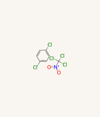 Clc1ccc(Cl)cc1.O=[N+]([O-])C(Cl)(Cl)Cl